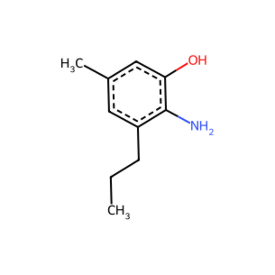 CCCc1cc(C)cc(O)c1N